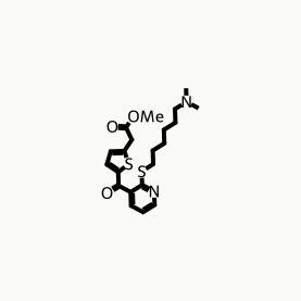 COC(=O)Cc1ccc(C(=O)c2cccnc2SCCCCCCN(C)C)s1